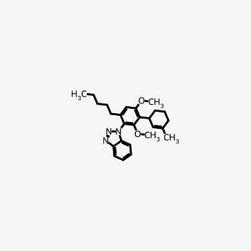 CCCCCc1cc(OC)c(C2C=C(C)CCC2)c(OC)c1-n1nnc2ccccc21